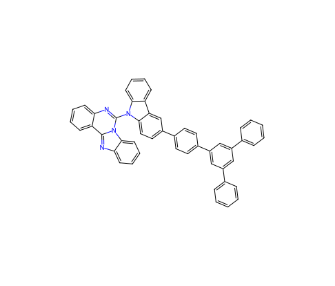 c1ccc(-c2cc(-c3ccccc3)cc(-c3ccc(-c4ccc5c(c4)c4ccccc4n5-c4nc5ccccc5c5nc6ccccc6n45)cc3)c2)cc1